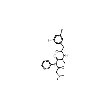 C[C@H](NC(=O)Cc1cc(F)cc(F)c1)C(=O)N(C(=O)CN(C)C)c1ccccc1